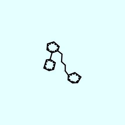 [CH](CCCc1ccccc1-c1ccccc1)c1ccccc1